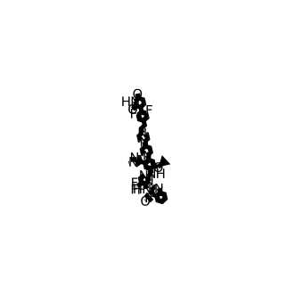 Cn1cc(-c2cc(Nc3ncc(C(F)(F)F)c(Nc4cnc5ccccc5c4P(C)(C)=O)n3)c(OC3CC3)cc2N2CCC(N3CCN(CCc4cc(F)c(C5CCC(=O)NC5=O)c(F)c4)CC3)CC2)cn1